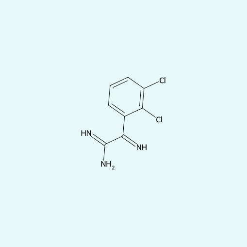 N=C(N)C(=N)c1cccc(Cl)c1Cl